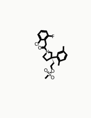 Cc1ccc(C)c([C@@]2(CCOS(C)(=O)=O)CCN(C(=O)Cc3c(F)cccc3Cl)C2)c1